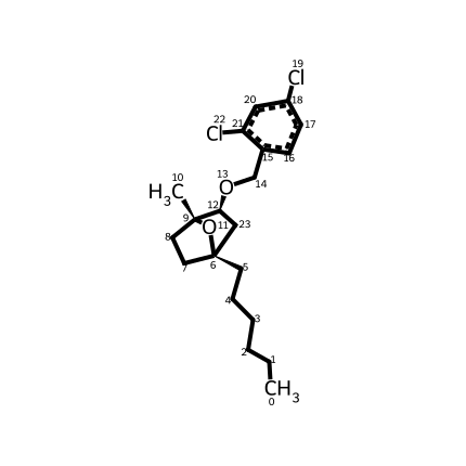 CCCCCC[C@@]12CC[C@@](C)(O1)[C@@H](OCc1ccc(Cl)cc1Cl)C2